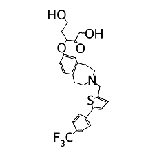 O=C(CO)C(CCO)Oc1ccc2c(c1)CCN(Cc1ccc(-c3ccc(C(F)(F)F)cc3)s1)CC2